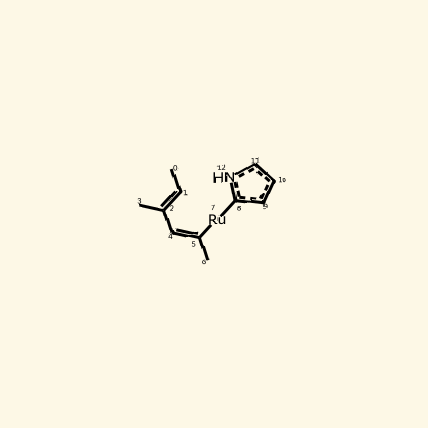 CC=C(C)C=[C](C)[Ru][c]1ccc[nH]1